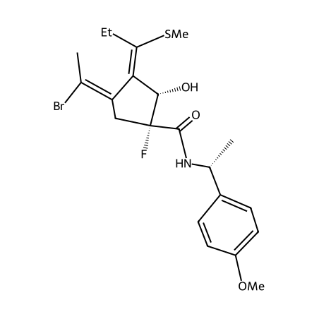 CC/C(SC)=C1\C(=C(/C)Br)C[C@](F)(C(=O)N[C@H](C)c2ccc(OC)cc2)[C@H]1O